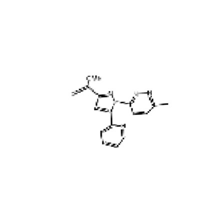 COC(=O)c1cc(-c2ccccn2)n(-c2ccc(I)nn2)n1